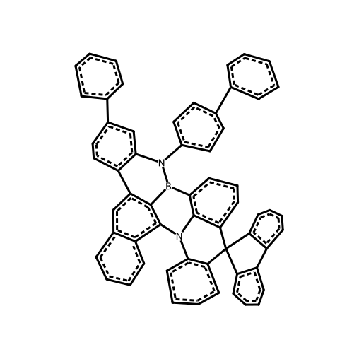 c1ccc(-c2ccc(N3B4c5cccc6c5N(c5ccccc5C65c6ccccc6-c6ccccc65)c5c4c(cc4ccccc54)-c4ccc(-c5ccccc5)cc43)cc2)cc1